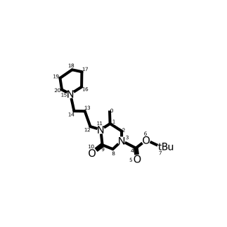 CC1CN(C(=O)OC(C)(C)C)CC(=O)N1CCCN1CCCCC1